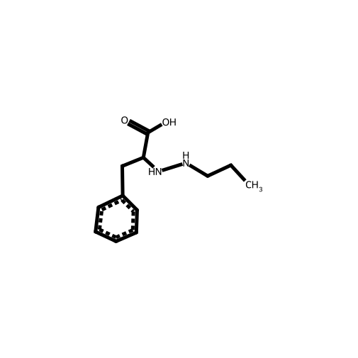 CCCNNC(Cc1ccccc1)C(=O)O